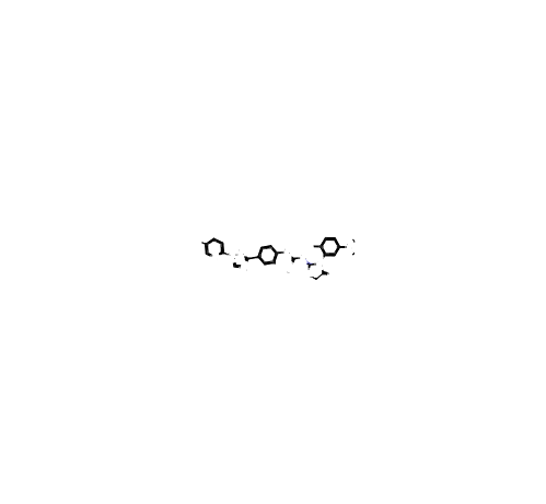 CCCc1ccc(N(C)C)cc1N1C(=O)CS/C1=N\C(=O)Nc1ccc(-c2ncn(-c3ccc(C(F)(F)F)cn3)n2)cc1C(C)=O